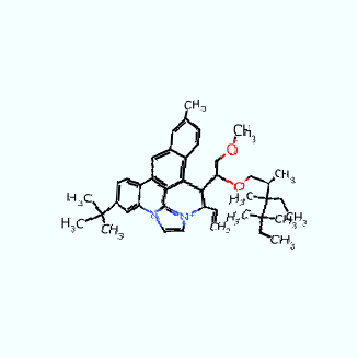 C=CC1C(C(COC)OC[C@@H](C)C(C)(CC)C(C)(C)CC)c2c3ccc(C)cc3cc3c4ccc(C(C)(C)C)cc4n4cc[n+]1c4c23